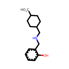 O=C(O)C1CCC(CNCc2ccccc2O)CC1